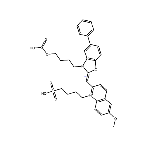 COc1ccc2c(ccc(/C=C3\Oc4ccc(-c5ccccc5)cc4N3CCCCOS(=O)O)[n+]2CCCCS(=O)(=O)O)c1